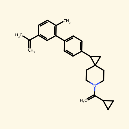 C=C(C)c1ccc(C)c(-c2ccc(C3CC34CCN(C(=C)C3CC3)CC4)cc2)c1